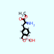 COC(=O)C(N)Cc1ccc2c(c1)COB2O